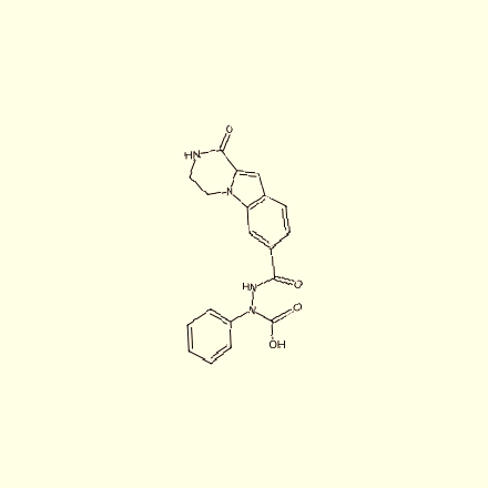 O=C(NN(C(=O)O)c1ccccc1)c1ccc2cc3n(c2c1)CCNC3=O